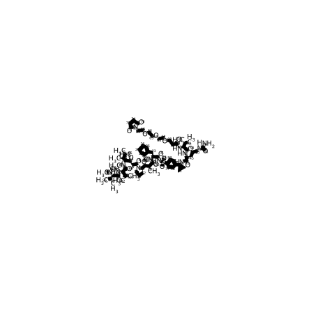 CC[C@H](C)[C@@H]([C@@H](CC(=O)N1CCC[C@H]1[C@H](OC)[C@@H](C)C(=O)N[C@@H](Cc1ccccc1)C(=O)NS(=O)(=O)c1ccc(C2(NC(=O)[C@H](CCCNC(N)=O)NC(=O)[C@@H](NC(=O)CCOCCOCCOCCN3C(=O)C=CC3=O)C(C)C)CC2)cc1)OC)N(C)C(=O)[C@@H](NC(=O)[C@H](C(C)C)N(C)C)C(C)C